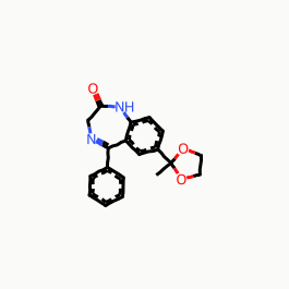 CC1(c2ccc3c(c2)C(c2ccccc2)=NCC(=O)N3)OCCO1